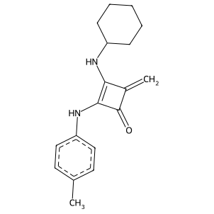 C=C1C(=O)C(Nc2ccc(C)cc2)=C1NC1CCCCC1